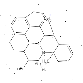 C=C1C2=C3/C=C\Cc4ccc5c(c41)C1C(CC5)C(CCC)[C@@H](CC)B(N21)C1(C)C=CC=CC31